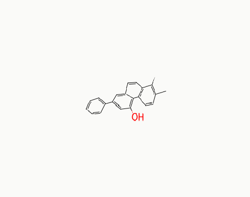 Cc1ccc2c(ccc3cc(-c4ccccc4)cc(O)c32)c1C